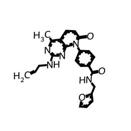 C=CCNc1nc(C)c2ccc(=O)n(-c3ccc(C(=O)NCc4ccco4)cc3)c2n1